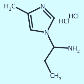 CCC(N)n1cnc(C)c1.Cl.Cl